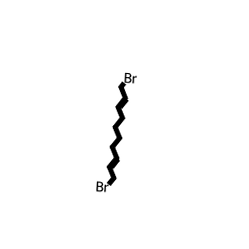 BrCC=CCCCCC=CCBr